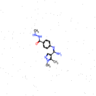 CNNC(=O)c1ccc(/N=C(/N)c2cnn(C)c2C)cc1